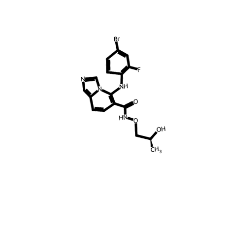 C[C@H](O)CONC(=O)c1ccc2cncn2c1Nc1ccc(Br)cc1F